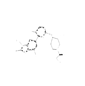 Cc1nc2c(F)cc(-c3nc(N[C@@H]4CCN(C(=O)CO)C[C@H]4O)ncc3F)cc2n1C(C)C